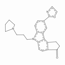 O=C1CCc2c1ccc1c2c2cc(-c3ncco3)ccc2n1CCCN1CCCC1